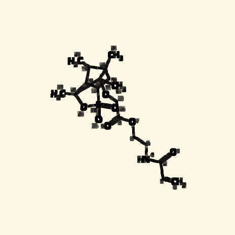 C=CC(=O)NCCOC(=O)COC1(C)C2(C)CC3C(C2C)C1(C)OS3(=O)=O